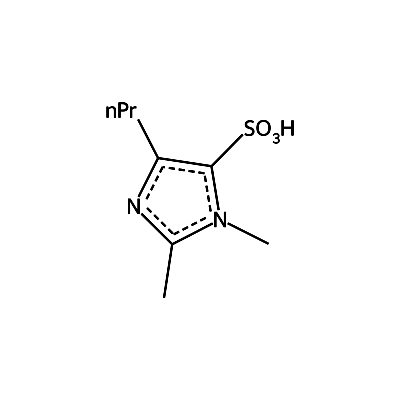 CCCc1nc(C)n(C)c1S(=O)(=O)O